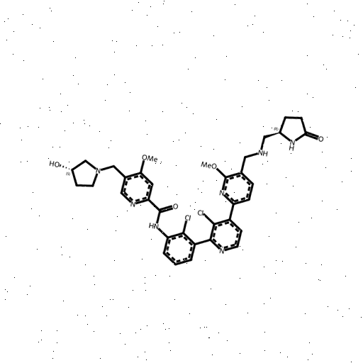 COc1cc(C(=O)Nc2cccc(-c3nccc(-c4ccc(CNC[C@H]5CCC(=O)N5)c(OC)n4)c3Cl)c2Cl)ncc1CN1CC[C@H](O)C1